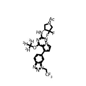 [2H]C([2H])([2H])Oc1nc(N[C@@H]2CN(C(C)=O)CC2(F)F)nn2ccc(-c3ccc4nnn(CC(F)(F)F)c4c3)c12